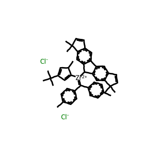 Cc1ccc([C](c2ccc(C)cc2)=[Zr+2]([C]2=CC(C(C)(C)C)=CC2C)[CH]2c3cc4c(cc3-c3cc5c(cc32)C(C)(C)C=C5)C=CC4(C)C)cc1.[Cl-].[Cl-]